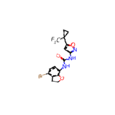 O=C(Nc1cc(C2(C(F)(F)F)CC2)on1)Nc1ccc(Br)c2c1OCC2